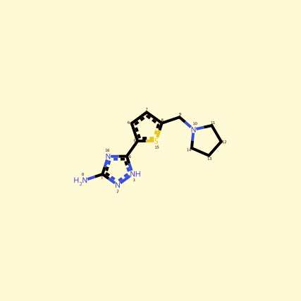 Nc1n[nH]c(-c2ccc(CN3CCCC3)s2)n1